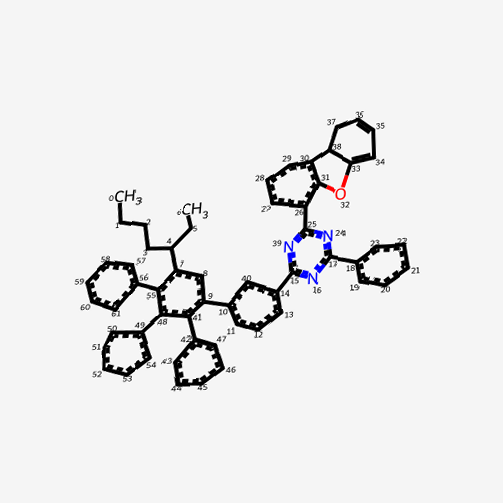 CCCCC(CC)c1cc(-c2cccc(-c3nc(-c4ccccc4)nc(-c4cccc5c4OC4=CC=CCC45)n3)c2)c(-c2ccccc2)c(-c2ccccc2)c1-c1ccccc1